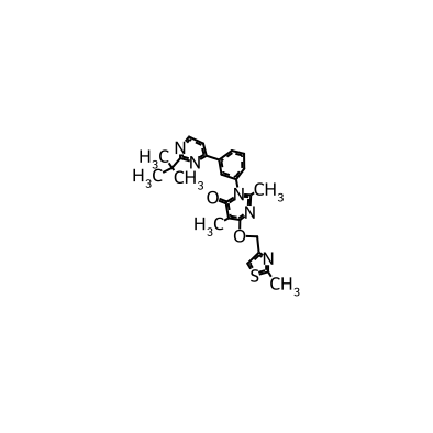 Cc1nc(COc2nc(C)n(-c3cccc(-c4ccnc(C(C)(C)C)n4)c3)c(=O)c2C)cs1